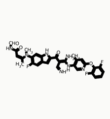 C/C(=C/C(=O)NC=O)N(C)c1cc2[nH]c(C(=O)/C(C=N)=C(\N)Nc3cnc(Oc4c(F)cccc4F)cc3C)cc2cc1F